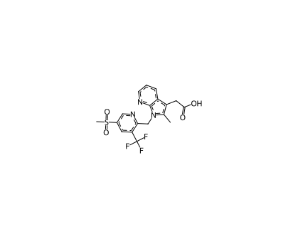 Cc1c(CC(=O)O)c2cccnc2n1Cc1ncc(S(C)(=O)=O)cc1C(F)(F)F